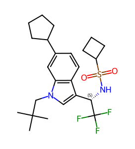 CC(C)(C)Cn1cc([C@H](NS(=O)(=O)C2CCC2)C(F)(F)F)c2ccc(C3CCCC3)cc21